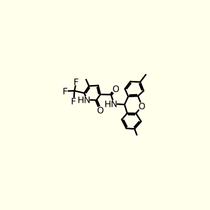 Cc1ccc2c(c1)Oc1cc(C)ccc1C2NC(=O)c1cc(C)c(C(F)(F)F)[nH]c1=O